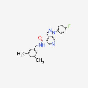 Cc1cc(C)cc(CNC(=O)c2cncc3c2cnn3-c2ccc(F)cc2)c1